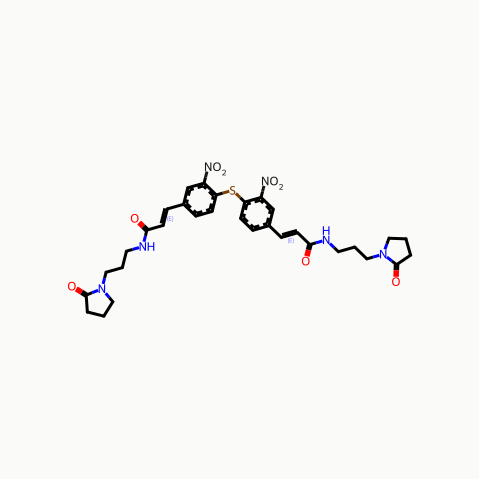 O=C(/C=C/c1ccc(Sc2ccc(/C=C/C(=O)NCCCN3CCCC3=O)cc2[N+](=O)[O-])c([N+](=O)[O-])c1)NCCCN1CCCC1=O